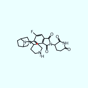 [2H]N1CCC(CN2C3CCC2CN(c2cc4c(cc2F)C(=O)N(C2CCC(=O)NC2=O)C4=O)C3)CC1